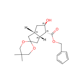 CC1(C)COC2(C[C@@H]3C[C@@H](O)[C@H](C(=O)OCc4ccccc4)[C@@H]3C2)OC1